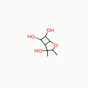 CC1OC2C(O)C(O)C2C1(C)O